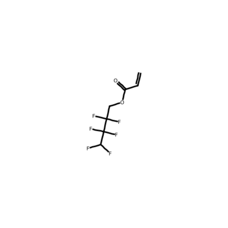 C=CC(=O)OCC(F)(F)C(F)(F)C(F)F